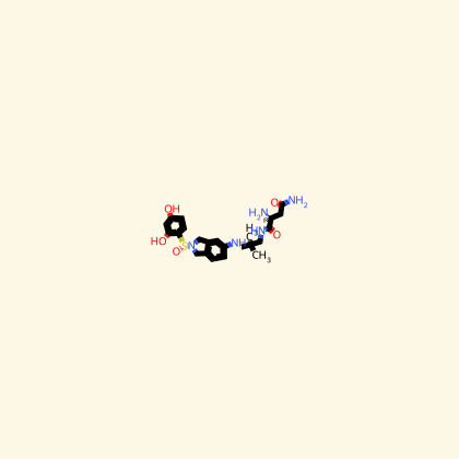 CC(C)(CNC(=O)[C@H](N)CC(N)=O)CNc1ccc2c(c1)CN([S+]([O-])c1ccc(O)cc1O)C2